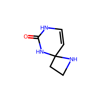 O=C1NC=CC2(CCN2)N1